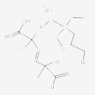 CC(C)(N=NC(C)(C)C(=N)N)C(=N)N.CCO[Si](CCCN)(OCC)OCC.Cl.Cl